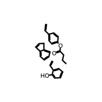 C1=Cc2ccccc2C1.C=Cc1ccc(OC(=O)CCC)cc1.C=Cc1ccccc1O